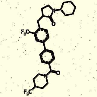 O=C(c1ccc(-c2ccc(CC3CCN(C4CCCCC4)C3=O)c(C(F)(F)F)c2)cc1)N1CCC(C(F)(F)F)CC1